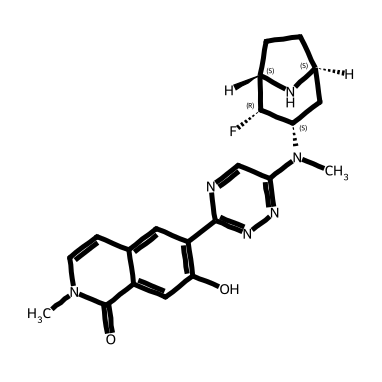 CN(c1cnc(-c2cc3ccn(C)c(=O)c3cc2O)nn1)[C@H]1C[C@@H]2CC[C@H](N2)[C@H]1F